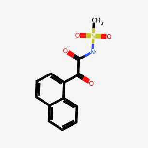 CS(=O)(=O)[N]C(=O)C(=O)c1cccc2ccccc12